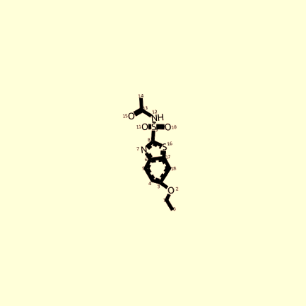 CCOc1ccc2nc(S(=O)(=O)NC(C)=O)sc2c1